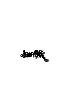 Cc1cc(OCCCO)cc(C)c1-c1cccc(COc2ccc(Cn3oc(=O)[nH]c3=O)cc2)c1C